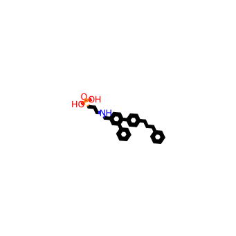 O=P(O)(O)CCCNCc1ccc(-c2ccc(CCCc3ccccc3)cc2)c(-c2ccccc2)c1